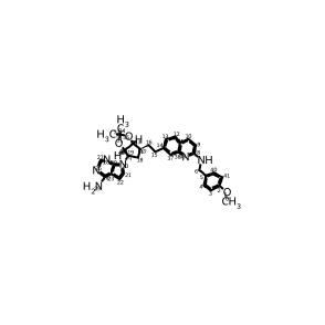 COc1ccc(CNc2ccc3ccc(CC[C@H]4C[C@@H](n5ccc6c(N)ncnc65)[C@@H]5OC(C)(C)O[C@H]45)cc3n2)cc1